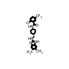 Cc1cc2nc(NC[C@H]3CC[C@H](NC(=O)c4cc(C(F)(F)F)ccc4Cl)CC3)[nH]c2cc1C